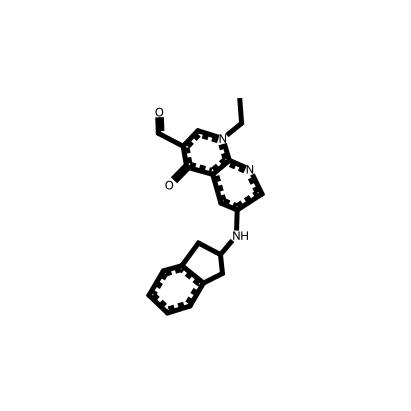 CCn1cc(C=O)c(=O)c2cc(NC3Cc4ccccc4C3)cnc21